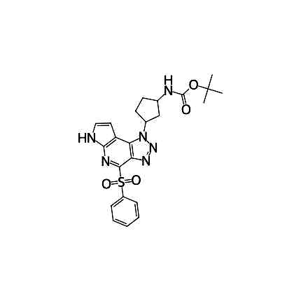 CC(C)(C)OC(=O)NC1CCC(n2nnc3c(S(=O)(=O)c4ccccc4)nc4[nH]ccc4c32)C1